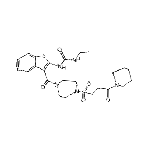 CCNC(=O)Nc1sc2ccccc2c1C(=O)N1CCN(S(=O)(=O)CCC(=O)N2CCCCC2)CC1